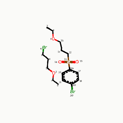 CCOCCCBr.CCOCCCS(=O)(=O)c1ccc(Br)cc1